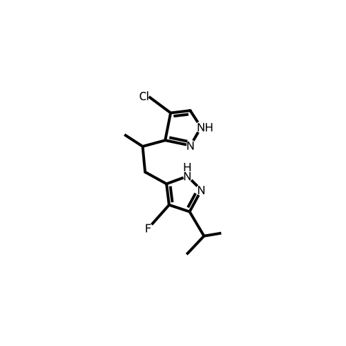 CC(C)c1n[nH]c(CC(C)c2n[nH]cc2Cl)c1F